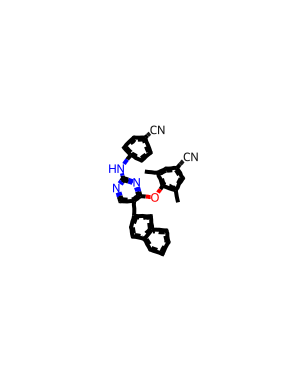 Cc1cc(C#N)cc(C)c1Oc1nc(Nc2ccc(C#N)cc2)ncc1-c1ccc2ccccc2c1